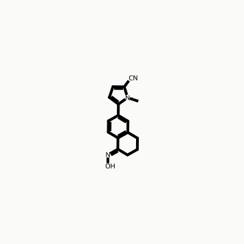 Cn1c(C#N)ccc1-c1ccc2c(c1)CCCC2=NO